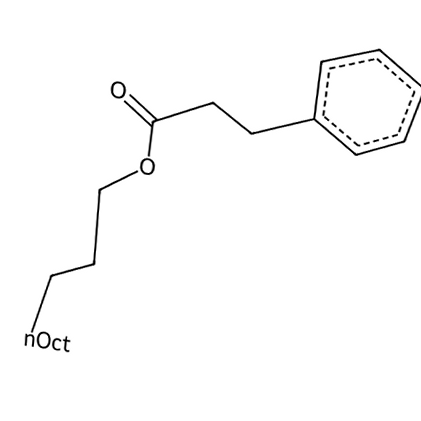 CCCCCCCCCCCOC(=O)CCc1ccccc1